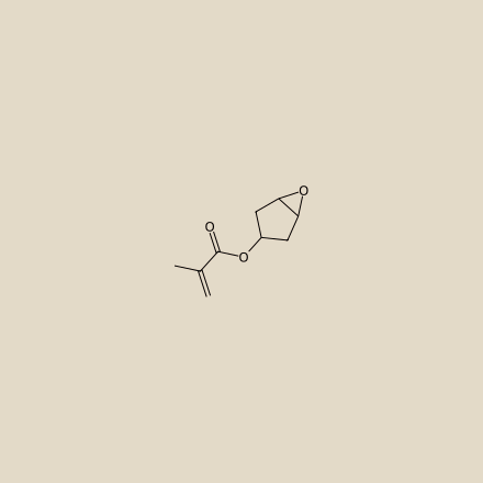 C=C(C)C(=O)OC1CC2OC2C1